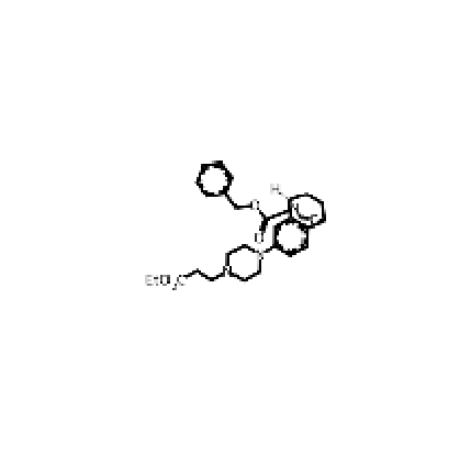 CCOC(=O)CCN1CCN(c2ccc3c(c2)[C@H]2CCC3CCN2C(=O)OCc2ccccc2)CC1